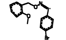 COc1ccccc1CO/N=[C]\c1ccc(Br)cc1